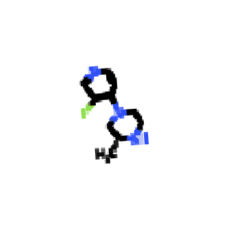 C[C@@H]1CN(c2ccncc2F)CCN1